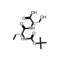 CC[C@@H](NC(=O)OC(C)(C)C)C(=O)N[C@@H](CO)C(=O)O